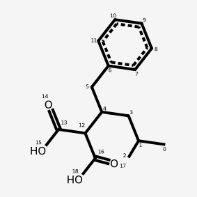 CC(C)CC(Cc1ccccc1)C(C(=O)O)C(=O)O